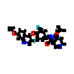 CCOc1ccc2c(Oc3c(F)cc(NC(=O)c4cnccc4OC4CC4)cc3F)ccnc2c1